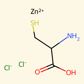 NC(CS)C(=O)O.[Cl-].[Cl-].[Zn+2]